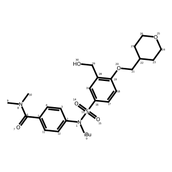 CCC(C)N(c1ccc(C(=O)N(C)C)cc1)S(=O)(=O)c1ccc(OCC2CCOCC2)c(CO)c1